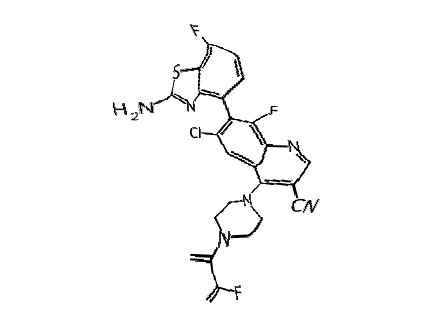 C=C(F)C(=C)N1CCN(c2c(C#N)cnc3c(F)c(-c4ccc(F)c5sc(N)nc45)c(Cl)cc23)CC1